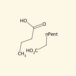 CCCC(=O)O.CCCCCCC(=O)O